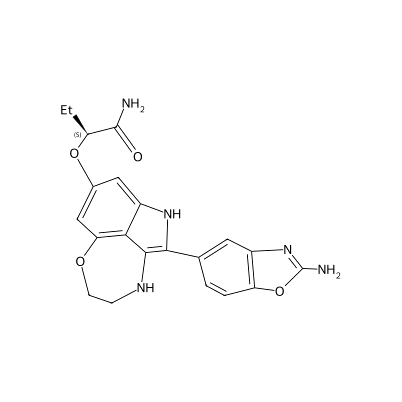 CC[C@H](Oc1cc2c3c(c(-c4ccc5oc(N)nc5c4)[nH]c3c1)NCCO2)C(N)=O